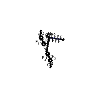 C=CC(=O)Oc1ccc(C(c2ccc(OCC(COCCCOC(F)(/C(F)=C(F)/C(F)=C(F)/C(F)=C(F)/C(F)=C(\F)CF)C(F)(F)OCCCCCC)Oc3ccc(C(c4ccc(OC(=O)C=C)cc4)(C(F)(F)F)C(F)(F)F)cc3)cc2)(C(F)(F)F)C(F)(F)F)cc1